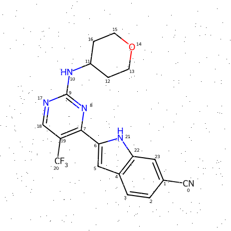 N#Cc1ccc2cc(-c3nc(NC4CCOCC4)ncc3C(F)(F)F)[nH]c2c1